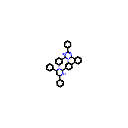 C1=C(c2ccccc2)NC(c2ccc(-c3ccccc3C3N=C(c4ccccc4)NC(c4ccccc4)N3)cc2)NC1c1ccccc1